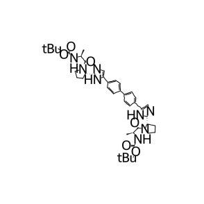 C[C@H](NC(=O)OC(C)(C)C)C(=O)N1CCC[C@H]1c1ncc(-c2ccc(-c3ccc(-c4cnc([C@@H]5CCCN5C(=O)[C@H](C)NC(=O)OC(C)(C)C)[nH]4)cc3)cc2)[nH]1